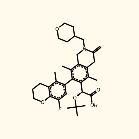 C=C1Cc2c(C)c([C@H](OC(C)(C)C)C(=O)O)c(-c3cc(F)c4c(c3C)CCCO4)c(C)c2CN1CC1CCOCC1